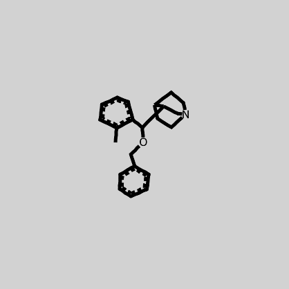 Cc1ccccc1C(OCc1ccccc1)C1CN2CCC1CC2